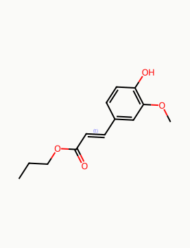 CCCOC(=O)/C=C/c1ccc(O)c(OC)c1